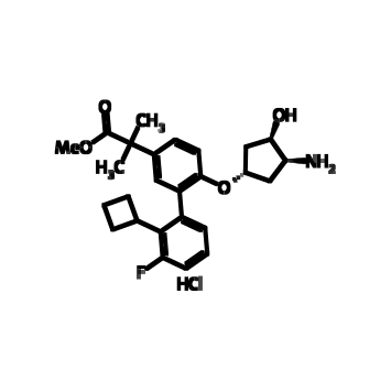 COC(=O)C(C)(C)c1ccc(O[C@@H]2C[C@@H](O)[C@@H](N)C2)c(-c2cccc(F)c2C2CCC2)c1.Cl